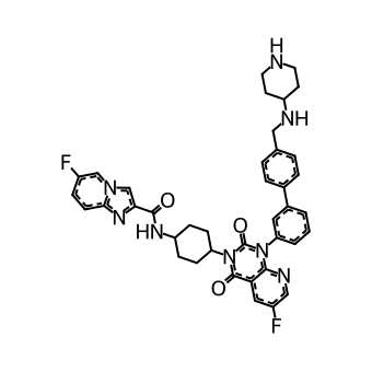 O=C(NC1CCC(n2c(=O)c3cc(F)cnc3n(-c3cccc(-c4ccc(CNC5CCNCC5)cc4)c3)c2=O)CC1)c1cn2cc(F)ccc2n1